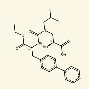 CCOC(=O)[C@H](Cc1ccc(-c2ccccc2)cc1)NC(=O)N(CC(C)C)C[C@H](O)C(=O)O